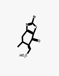 CC1Cc2nc(Br)sc2C(=O)C1=CC(=O)O